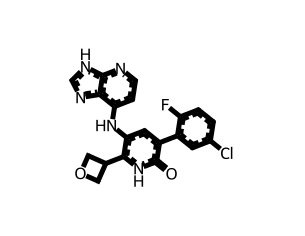 O=c1[nH]c(C2COC2)c(Nc2ccnc3[nH]cnc23)cc1-c1cc(Cl)ccc1F